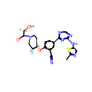 Cc1ncc(Nc2ncnc(-c3ccc(O[C@H]4CCN(C(=O)[C@H](C)O)C[C@@H]4F)c(C#N)c3)n2)s1